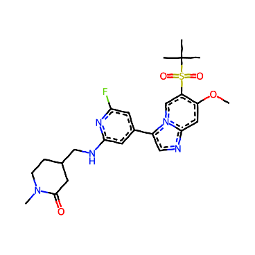 COc1cc2ncc(-c3cc(F)nc(NCC4CCN(C)C(=O)C4)c3)n2cc1S(=O)(=O)C(C)(C)C